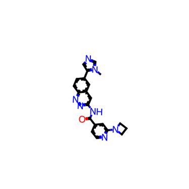 Cn1cncc1-c1ccc2nnc(NC(=O)c3ccnc(N4CCC4)c3)cc2c1